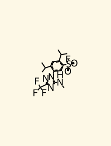 CNc1nc(C(F)(F)F)nn1-c1cc(S(=O)(=O)F)c(C(C)C)cc1C(C)C